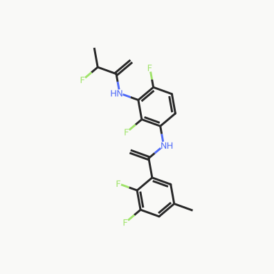 C=C(Nc1ccc(F)c(NC(=C)C(C)F)c1F)c1cc(C)cc(F)c1F